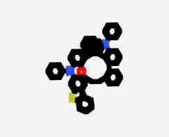 c1ccc(N(c2ccc3c(c2)sc2ccccc23)c2cccc3c2OCCCc2ccccc2-c2cccc(N(c4ccccc4)c4ccccc4)c2-c2ccccc2-3)cc1